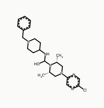 C[C@@H]1CN(c2cnc(Cl)cn2)C[C@H](C)N1C(O)NC1CCN(Cc2ccccc2)CC1